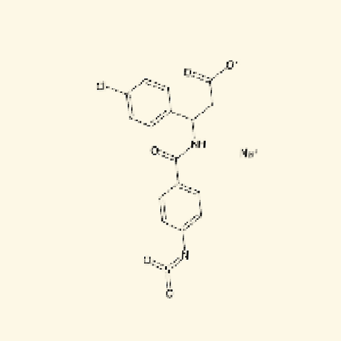 O=C([O-])CC(NC(=O)c1ccc(N=S(=O)=O)cc1)c1ccc(Cl)cc1.[Na+]